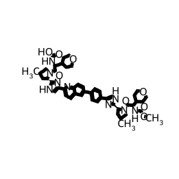 COC(=O)NC(C(=O)N1C[C@@H](C)C[C@H]1c1nc(-c2ccc(-c3ccc4nc(-c5c[nH]c([C@@H]6C[C@H](C)CN6C(=O)[C@@H](NC(=O)O)C6CCOCC6)n5)ccc4c3)cc2)c[nH]1)C1CCOCC1